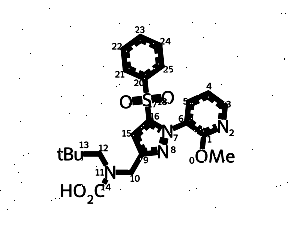 COc1ncccc1-n1nc(CN(CC(C)(C)C)C(=O)O)cc1S(=O)(=O)c1ccccc1